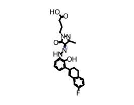 CC1=NN(CCCC(=O)O)C(=O)/C1=N\Nc1cccc(C2=Cc3cc(F)ccc3CC2)c1O